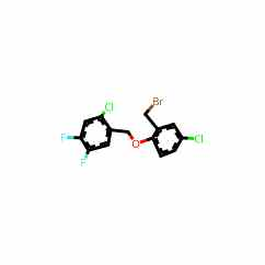 Fc1cc(Cl)c(COc2ccc(Cl)cc2CBr)cc1F